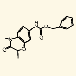 CC1Oc2cc(NC(=O)OCc3ccccc3)ccc2N(C)C1=O